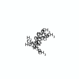 C=CC(O)Nc1cnn(CCOC)c1-c1ncc2cc(-c3c(Cl)c(OC)cc(OC)c3Cl)[nH]c(=O)c2n1